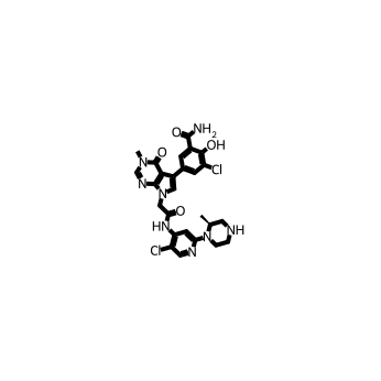 C[C@H]1CNCCN1c1cc(NC(=O)Cn2cc(-c3cc(Cl)c(O)c(C(N)=O)c3)c3c(=O)n(C)cnc32)c(Cl)cn1